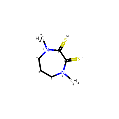 CN1CCCN(C)C(=S)C1=S